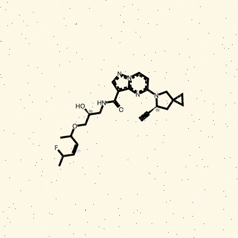 C#C[C@@H]1CC2(CC2)CN1c1ccn2ncc(C(=O)NC[C@H](O)COC(C)/C=C\C(C)F)c2n1